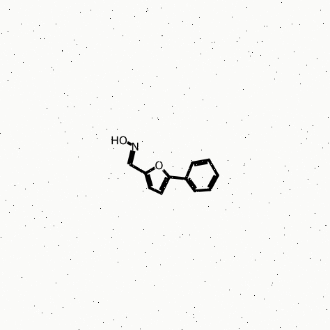 ON=Cc1ccc(-c2ccccc2)o1